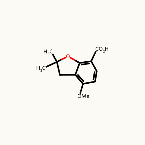 COc1ccc(C(=O)O)c2c1CC(C)(C)O2